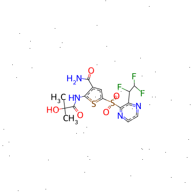 CC(C)(O)C(=O)Nc1sc(S(=O)(=O)c2nccnc2C(F)C(F)F)cc1C(N)=O